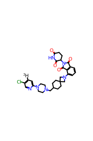 [2H]c1cc(N2CCN(CC3CCC4(CC3)CN(c3cccc5c3C(=O)N(C3CCC(=O)NC3=O)C5=O)C4)CC2)ncc1Cl